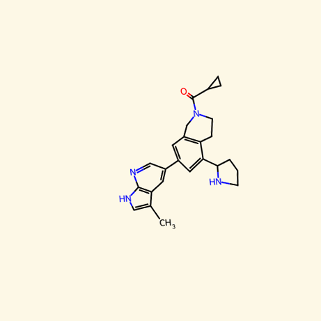 Cc1c[nH]c2ncc(-c3cc4c(c(C5CCCN5)c3)CCN(C(=O)C3CC3)C4)cc12